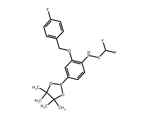 CC1(C)OB(c2ccc(NSC(F)F)c(OCc3ccc(F)cc3)c2)OC1(C)C